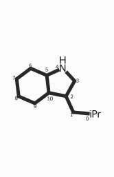 CC(C)CC1CNC2CCCCC12